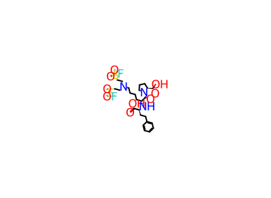 O=C(O)[C@H](CCc1ccccc1)NC(CCCCN(CCS(=O)(=O)F)CCS(=O)(=O)F)C(=O)N1CCC[C@H]1C(=O)O